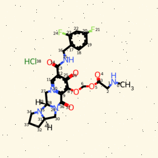 CNCC(=O)OCOc1c2n(cc(C(=O)NCc3ccc(F)cc3F)c1=O)C[C@@H]1N(C[C@H]3CCCN31)C2=O.Cl